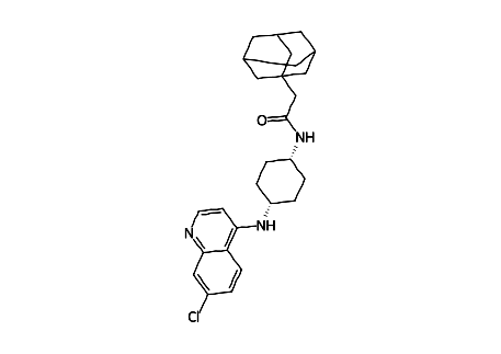 O=C(CC12CC3CC(CC(C3)C1)C2)N[C@H]1CC[C@@H](Nc2ccnc3cc(Cl)ccc23)CC1